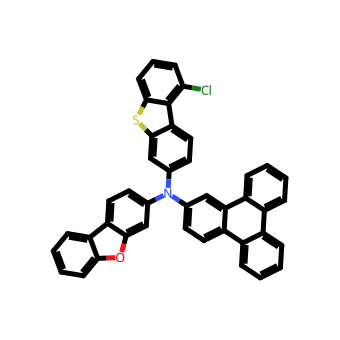 Clc1cccc2sc3cc(N(c4ccc5c(c4)oc4ccccc45)c4ccc5c6ccccc6c6ccccc6c5c4)ccc3c12